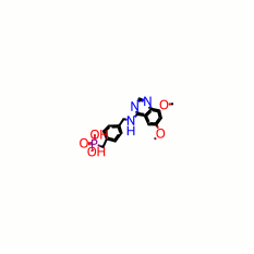 COc1cc(OC)c2ncnc(NCc3ccc(CP(=O)(O)O)cc3)c2c1